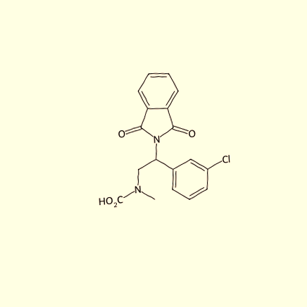 CN(CC(c1cccc(Cl)c1)N1C(=O)c2ccccc2C1=O)C(=O)O